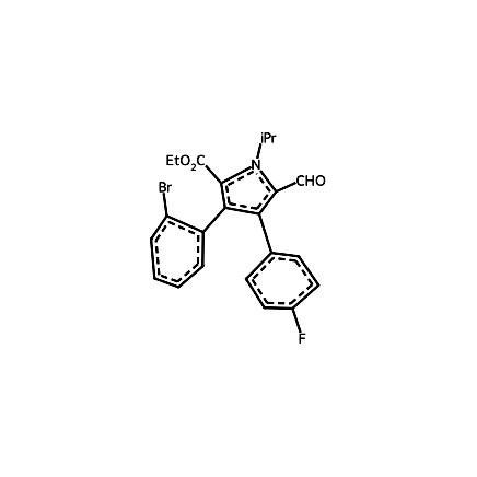 CCOC(=O)c1c(-c2ccccc2Br)c(-c2ccc(F)cc2)c(C=O)n1C(C)C